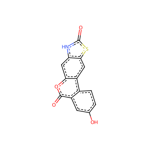 O=c1[nH]c2cc3oc(=O)c4cc(O)ccc4c3cc2s1